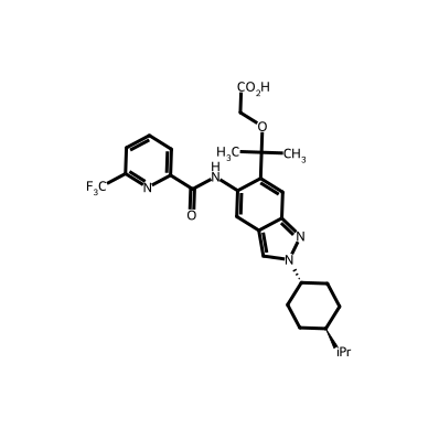 CC(C)[C@H]1CC[C@H](n2cc3cc(NC(=O)c4cccc(C(F)(F)F)n4)c(C(C)(C)OCC(=O)O)cc3n2)CC1